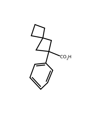 O=C(O)C1(c2ccccc2)CC2(CCC2)C1